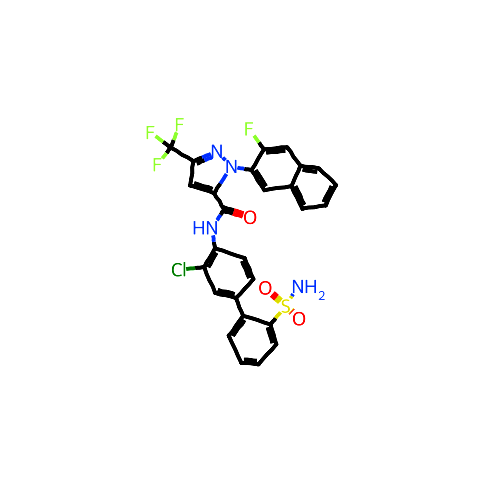 NS(=O)(=O)c1ccccc1-c1ccc(NC(=O)c2cc(C(F)(F)F)nn2-c2cc3ccccc3cc2F)c(Cl)c1